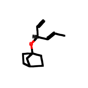 C=C[SiH](C=CC)OC12CCC(CC1)C2